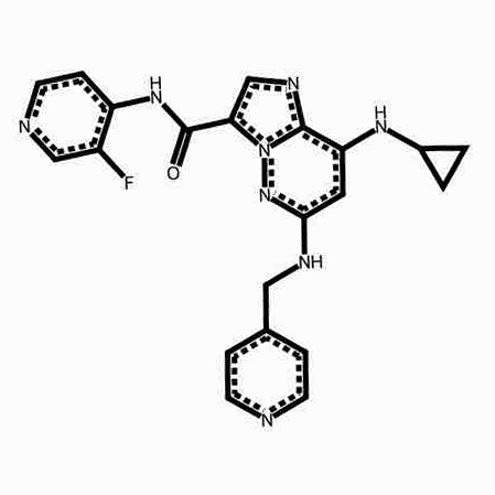 O=C(Nc1ccncc1F)c1cnc2c(NC3CC3)cc(NCc3ccncc3)nn12